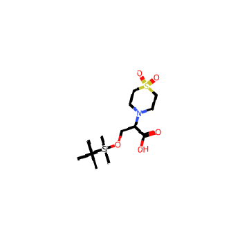 CC(C)(C)[Si](C)(C)OCC(C(=O)O)N1CCS(=O)(=O)CC1